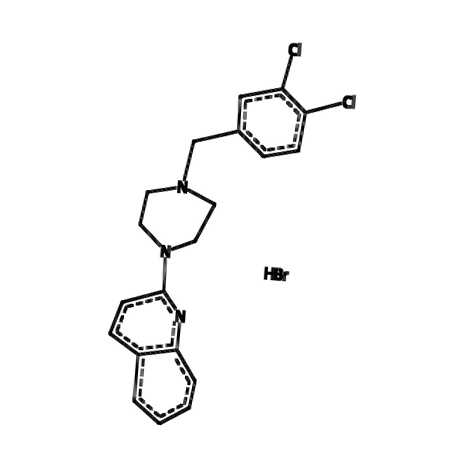 Br.Clc1ccc(CN2CCN(c3ccc4ccccc4n3)CC2)cc1Cl